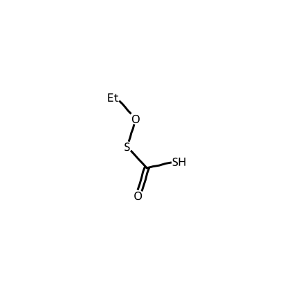 CCOSC(=O)S